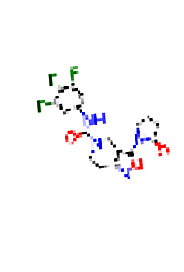 O=C(Nc1cc(F)c(F)c(F)c1)N1CCc2noc(N3CCCC3=O)c2C1